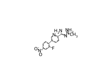 CN(N)/N=C(\N)c1ccc(-c2ccc([N+](=O)[O-])cc2F)cn1